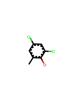 Cc1cc(Cl)cc(Cl)c1[O]